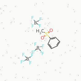 CS(=O)(=O)c1ccccc1.F[B-](F)(F)F.F[B-](F)(F)F.F[B-](F)(F)F